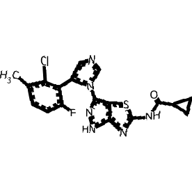 Cc1ccc(F)c(-c2cncn2-c2n[nH]c3nc(NC(=O)C4CC4)sc23)c1Cl